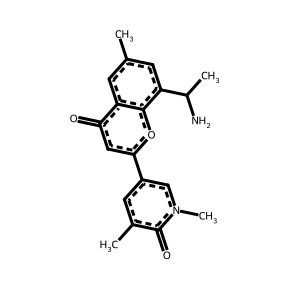 Cc1cc(C(C)N)c2oc(-c3cc(C)c(=O)n(C)c3)cc(=O)c2c1